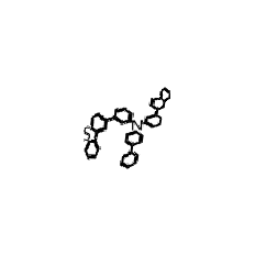 c1ccc(-c2ccc(N(c3cccc(-c4ccc5ccccc5c4)c3)c3cccc(-c4ccc5sc6ccccc6c5c4)c3)cc2)cc1